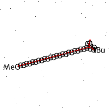 C=CCOC(=O)CCN(CCC(=O)OC(C)(C)C)C(=O)CCOCCOCCOCCOCCOCCOCCOCCOCCOCCOCCOCCOCCOCCOCCOCCOCCOCCOCCOCCOCCOCCOCCOCCOC